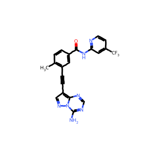 Cc1ccc(C(=O)Nc2cc(C(F)(F)F)ccn2)cc1C#Cc1cnn2c(N)ncnc12